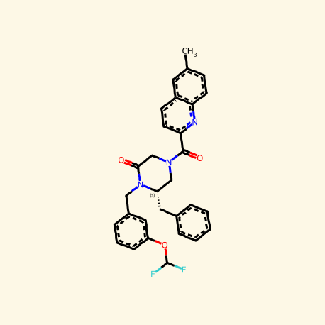 Cc1ccc2nc(C(=O)N3CC(=O)N(Cc4cccc(OC(F)F)c4)[C@@H](Cc4ccccc4)C3)ccc2c1